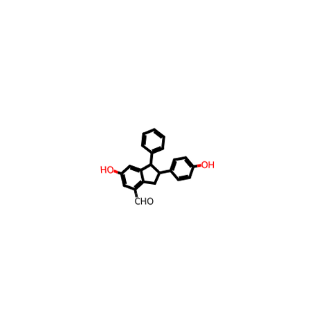 O=Cc1cc(O)cc2c1CC(c1ccc(O)cc1)C2c1ccccc1